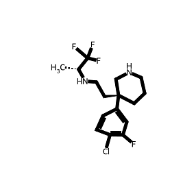 C[C@@H](NCC[C@]1(c2ccc(Cl)c(F)c2)CCCNC1)C(F)(F)F